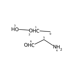 CC=O.CO.NCC=O